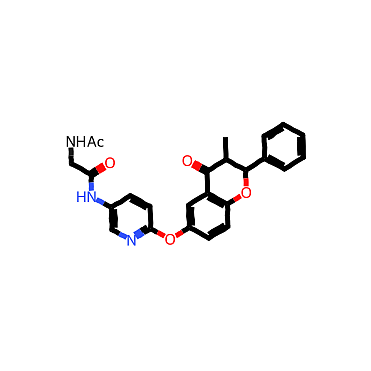 CC(=O)NCC(=O)Nc1ccc(Oc2ccc3c(c2)C(=O)C(C)C(c2ccccc2)O3)nc1